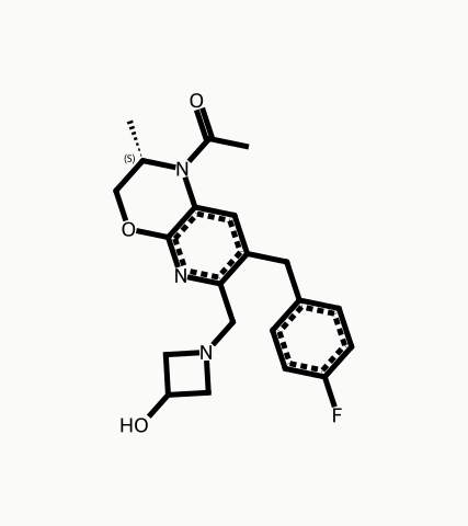 CC(=O)N1c2cc(Cc3ccc(F)cc3)c(CN3CC(O)C3)nc2OC[C@@H]1C